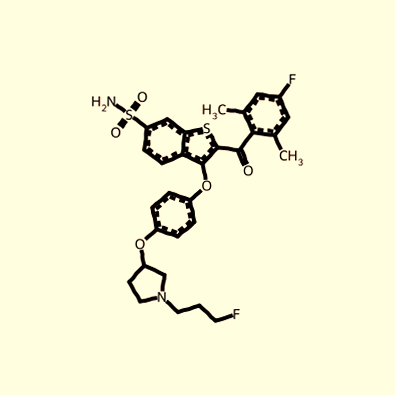 Cc1cc(F)cc(C)c1C(=O)c1sc2cc(S(N)(=O)=O)ccc2c1Oc1ccc(OC2CCN(CCCF)C2)cc1